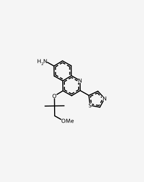 COCC(C)(C)Oc1cc(-c2cncs2)nc2ccc(N)cc12